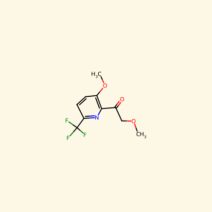 COCC(=O)c1nc(C(F)(F)F)ccc1OC